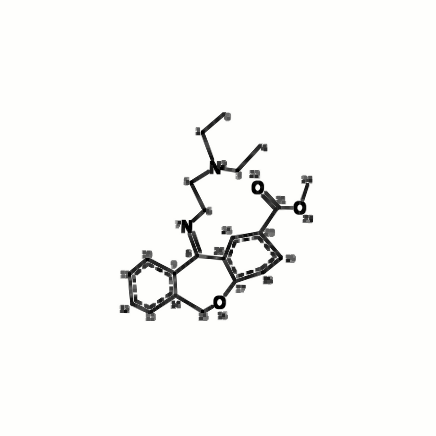 CCN(CC)CCN=C1c2ccccc2COc2ccc(C(=O)OC)cc21